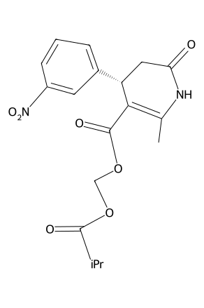 CC1=C(C(=O)OCOC(=O)C(C)C)[C@H](c2cccc([N+](=O)[O-])c2)CC(=O)N1